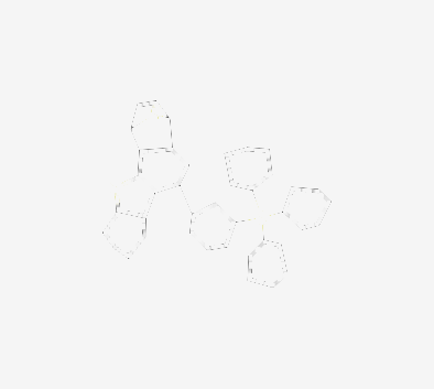 C1=CC2SC1c1cc(-c3cccc(S(c4ccccc4)(c4ccccc4)c4ccccc4)c3)c3c(sc4ccccc43)c12